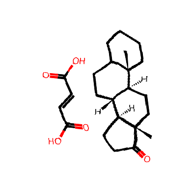 C[C@]12CCCCC1CC[C@@H]1[C@@H]2CC[C@]2(C)C(=O)CC[C@@H]12.O=C(O)/C=C/C(=O)O